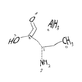 CC(N)C(=O)O.[AlH3]